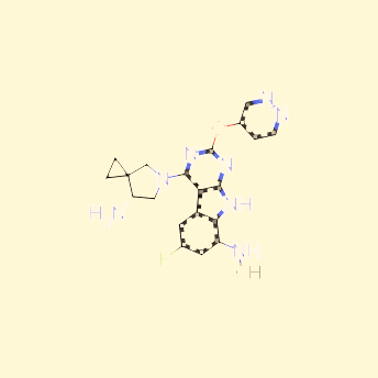 CNc1cc(F)cc2c1[nH]c1nc(Oc3ccnnc3)nc(N3C[C@H](N)C4(CC4)C3)c12